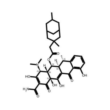 CC1CC2CC(C1)CC(C)(CC(=O)O[C@H]1[C@@H]3C(=C(O)[C@]4(O)C(=O)C(C(N)=O)=C(O)[C@@H](N(C)C)[C@H]14)C(=O)c1c(O)cccc1[C@H]3C)C2